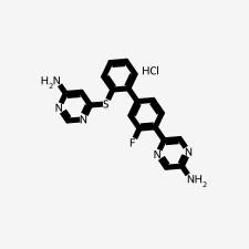 Cl.Nc1cnc(-c2ccc(-c3ccccc3Sc3cc(N)ncn3)cc2F)cn1